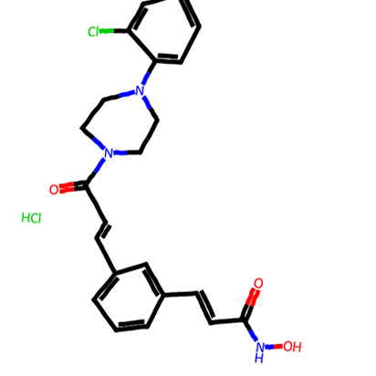 Cl.O=C(C=Cc1cccc(C=CC(=O)N2CCN(c3ccccc3Cl)CC2)c1)NO